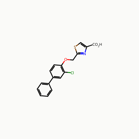 O=C(O)c1csc(COc2ccc(-c3ccccc3)cc2Cl)n1